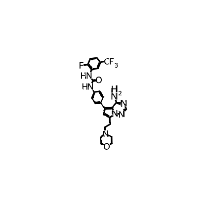 Nc1ncnn2c(CCN3CCOCC3)cc(-c3ccc(NC(=O)Nc4cc(C(F)(F)F)ccc4F)cc3)c12